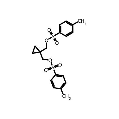 Cc1ccc(S(=O)(=O)OCC2(COS(=O)(=O)c3ccc(C)cc3)CC2)cc1